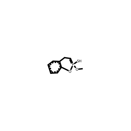 COP1(S)=CCc2ccccc2O1